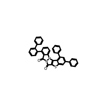 O=c1c2sc3cc(-c4ccccc4)cc(-c4ccccc4)c3c2n2c3cccc(-c4ccccc4-c4ccccc4)c3c(=O)n12